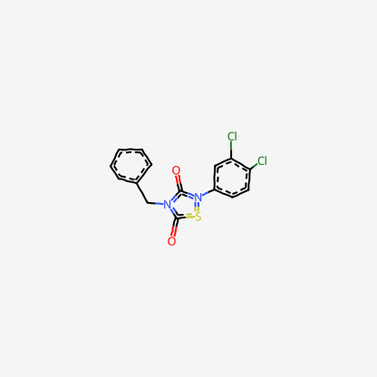 O=c1sn(-c2ccc(Cl)c(Cl)c2)c(=O)n1Cc1ccccc1